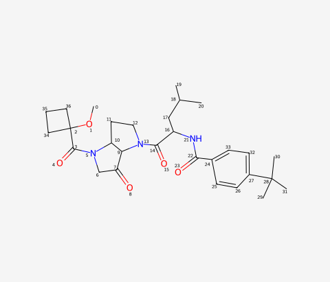 COC1(C(=O)N2CC(=O)C3C2CCN3C(=O)C(CC(C)C)NC(=O)c2ccc(C(C)(C)C)cc2)CCC1